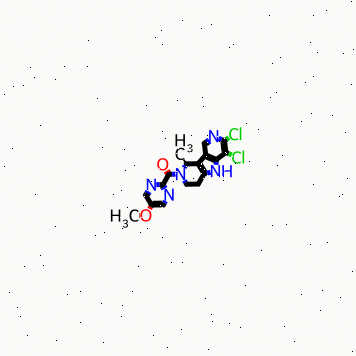 COc1cnc(C(=O)N2CCc3[nH]c4c(Cl)c(Cl)ncc4c3[C@H]2C)nc1